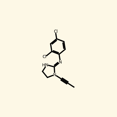 CC#CN1CCN/C1=N\c1ccc(Cl)cc1Cl